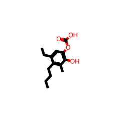 CCCCc1c(CC)cc(OC(=O)O)c(O)c1C